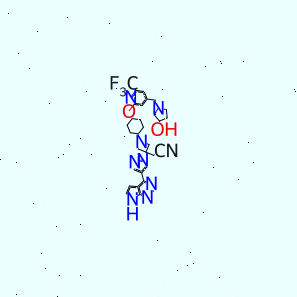 N#CCC1(n2cc(-c3ncnc4[nH]ccc34)cn2)CN(C2CCC(Oc3cc(CN4CC[C@H](O)C4)cc(C(F)(F)F)n3)CC2)C1